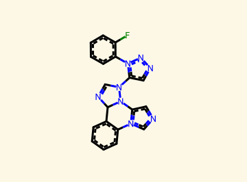 Fc1ccccc1-n1nncc1N1C=NC2c3ccccc3-n3cncc3N21